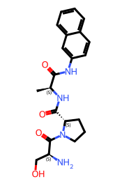 C[C@H](NC(=O)[C@@H]1CCCN1C(=O)[C@@H](N)CO)C(=O)Nc1ccc2ccccc2c1